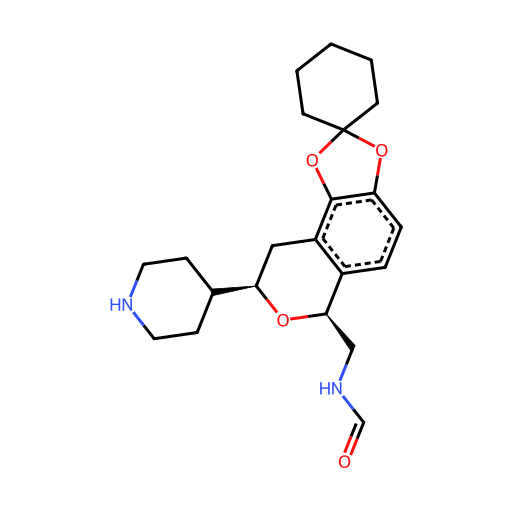 O=CNC[C@H]1O[C@@H](C2CCNCC2)Cc2c1ccc1c2OC2(CCCCC2)O1